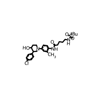 Cc1cc(N2CCC(O)C(c3ccc(Cl)cc3)C2)ccc1NC(=O)CCCCNS(=O)(=O)C(C)(C)C